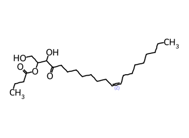 CCCCCCCC/C=C\CCCCCCCC(=O)C(O)C(CO)OC(=O)CCC